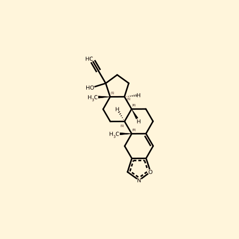 C#CC1(O)CC[C@H]2[C@@H]3CCC4=Cc5oncc5C[C@]4(C)[C@H]3CC[C@@]21C